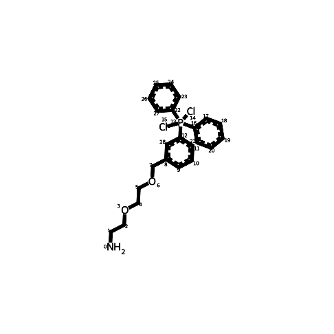 NCCOCCOCc1cccc(P(Cl)(Cl)(c2ccccc2)c2ccccc2)c1